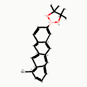 CC1(C)OB(c2ccc3cc4cc5c(C#N)cccc5cc4cc3c2)OC1(C)C